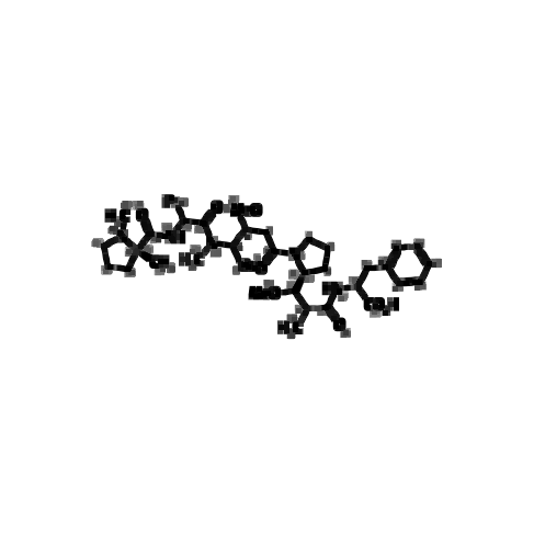 CCC(C)C(C(CC(=O)N1CCC[C@H]1C(OC)C(C)C(=O)NC(Cc1ccccc1)C(=O)O)OC)N(C)C(=O)C(NC(=O)[C@]1(C)CCCN1C)C(C)C